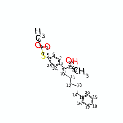 COC(=O)Sc1ccc([C@@H](CCCCCc2ccccc2)[C](C)O)cc1